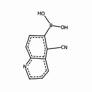 N#Cc1c(B(O)O)ccc2ncccc12